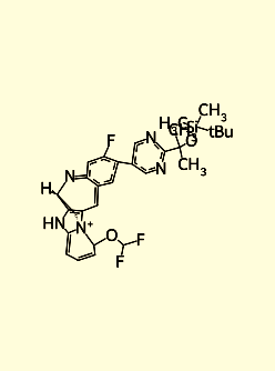 CC(C)(O[Si](C)(C)C(C)(C)C)c1ncc(-c2cc3c(cc2F)=N[C@@H]2C[N@@+]45C(=CC=CC4OC(F)F)NC2=C5C=3)cn1